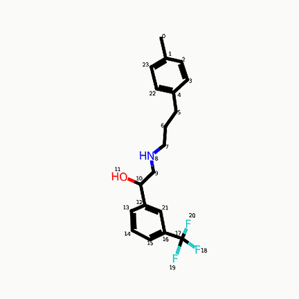 Cc1ccc(CCCNCC(O)c2cccc(C(F)(F)F)c2)cc1